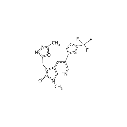 Cc1nnc(Cn2c(=O)n(C)c3ncc(-c4ccc(C(F)(F)F)s4)cc32)o1